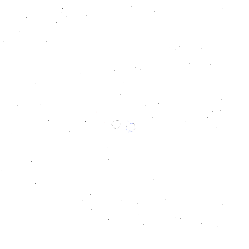 CCCCCCCCCCc1cnc(-c2ccc(OCCOCCCC(C)CC)cc2)nc1